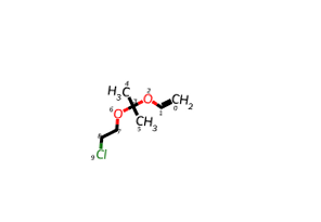 C=COC(C)(C)OCCCl